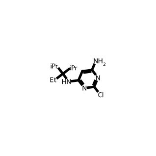 CCC(Nc1cc(N)nc(Cl)n1)(C(C)C)C(C)C